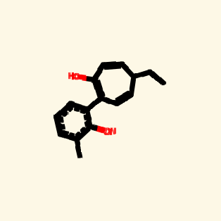 CCC1C=CC(O)=C(c2cccc(C)c2O)C=C1